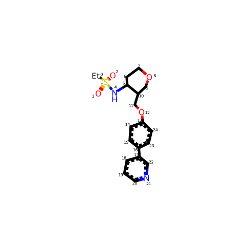 CCS(=O)(=O)NC1CCOCC1COc1ccc(-c2cccnc2)cc1